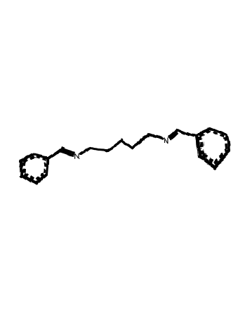 C(=NCCCCCN=Cc1ccccc1)c1ccccc1